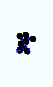 c1ccc(-n2c3ccccc3c3c2ccc2c4c5c(ccc4n(-c4ccccc4)c23)c2cnccc2n2c3cccnc3nc52)cc1